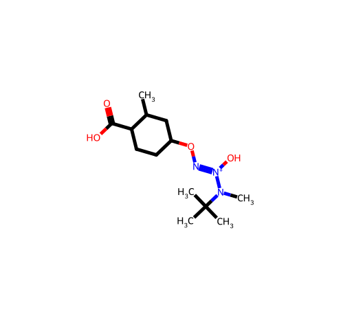 CC1CC(O/N=[N+](\O)N(C)C(C)(C)C)CCC1C(=O)O